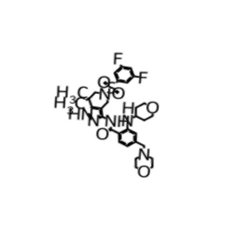 CC1(C)CN(S(=O)(=O)c2cc(F)cc(F)c2)Cc2c(NC(=O)c3ccc(CN4CCOCC4)cc3NC3CCOCC3)n[nH]c21